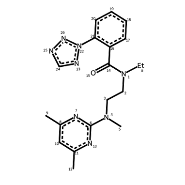 CCN(CCN(C)c1nc(C)cc(C)n1)C(=O)c1ccccc1-n1ncnn1